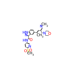 C=N/C=C(\C=C(/C)c1ccc2[nH]nc(C(=O)Nc3ccc(S(C)(=O)=O)nc3)c2c1)CN1CCOCC1